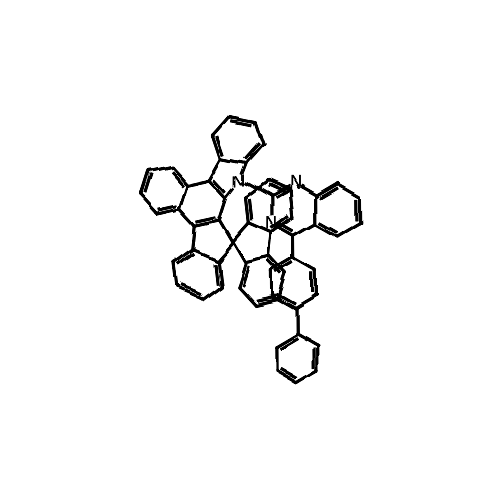 c1ccc(-c2ccc(-c3nc(-n4c5ccccc5c5c6ccccc6c6c(c54)C4(c5ccccc5-c5ccccc54)c4ccccc4-6)nc4ccccc34)cc2)cc1